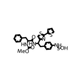 COC(=O)NC(Cc1ccccc1)C(=O)NC(Cc1ccc(NSO)cc1)c1csc(-c2cccs2)n1